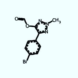 Cn1nc(OC=O)c(-c2ccc(Br)cc2)n1